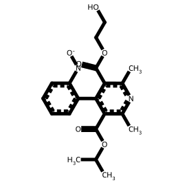 Cc1nc(C)c(C(=O)OC(C)C)c(-c2ccccc2[N+](=O)[O-])c1C(=O)OCCO